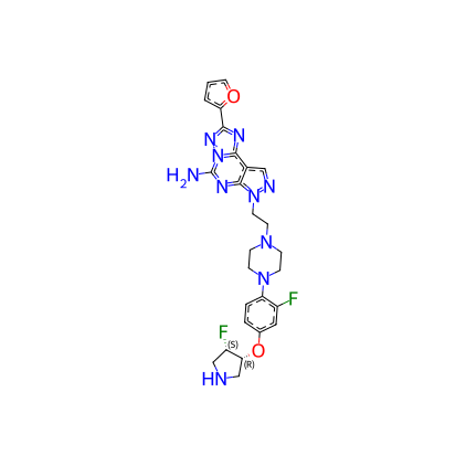 Nc1nc2c(cnn2CCN2CCN(c3ccc(O[C@@H]4CNC[C@@H]4F)cc3F)CC2)c2nc(-c3ccco3)nn12